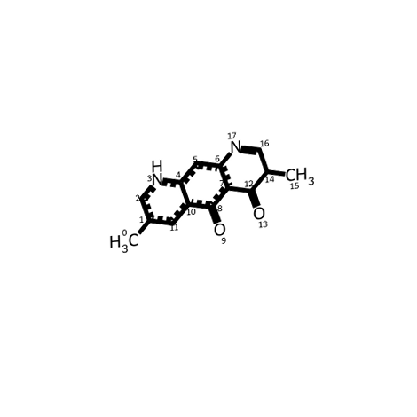 Cc1c[nH]c2cc3c(c(=O)c-2c1)C(=O)C(C)C=N3